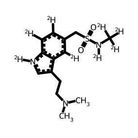 [2H]c1c(CS(=O)(=O)N([2H])C([2H])([2H])[2H])c([2H])c2c(CCN(C)C)cn([2H])c2c1[2H]